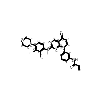 C=CC(=O)Nc1cccc(-n2ccc(=O)c3cnc(Nc4ccc(N5CCOCC5)c(F)c4F)nc32)c1